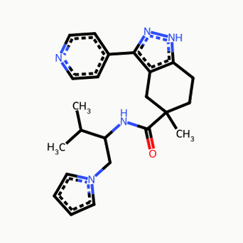 CC(C)C(Cn1cccc1)NC(=O)C1(C)CCc2[nH]nc(-c3ccncc3)c2C1